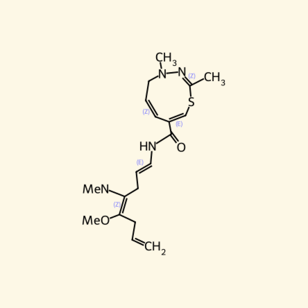 C=CC/C(OC)=C(\C/C=C/NC(=O)C1=C/S/C(C)=N\N(C)C/C=C\1)NC